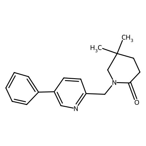 CC1(C)CCC(=O)N(Cc2ccc(-c3ccccc3)cn2)C1